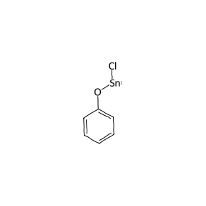 [Cl][Sn][O]c1ccccc1